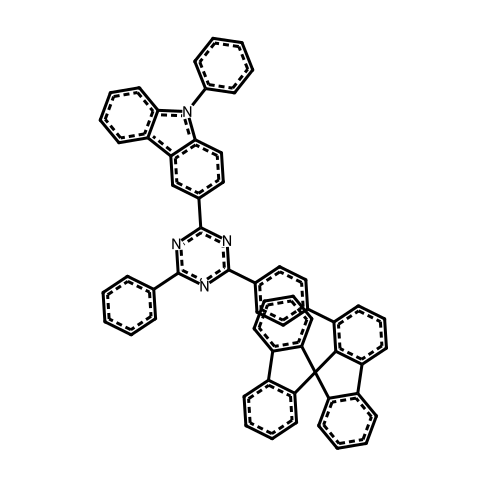 c1ccc(-c2nc(-c3ccc(-c4cccc5c4C4(c6ccccc6-c6ccccc64)c4ccccc4-5)cc3)nc(-c3ccc4c(c3)c3ccccc3n4-c3ccccc3)n2)cc1